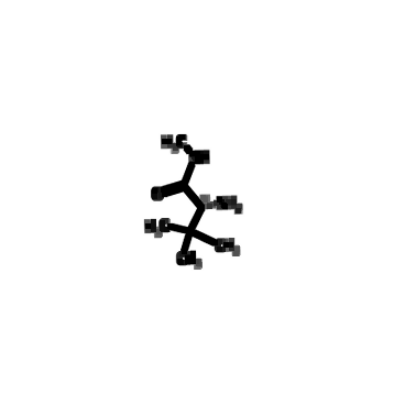 CNC(=O)[C@H](N)C(C)(C)C